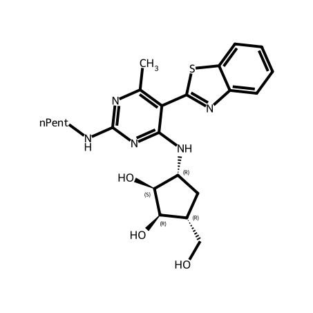 CCCCCNc1nc(C)c(-c2nc3ccccc3s2)c(N[C@@H]2C[C@H](CO)[C@@H](O)[C@H]2O)n1